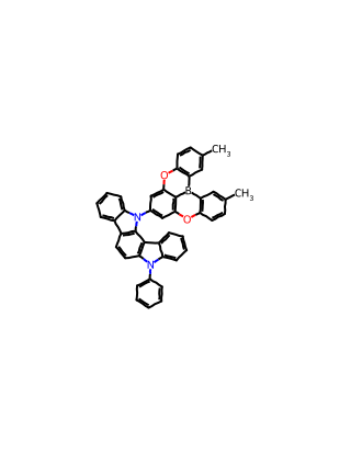 Cc1ccc2c(c1)B1c3cc(C)ccc3Oc3cc(-n4c5ccccc5c5ccc6c(c7ccccc7n6-c6ccccc6)c54)cc(c31)O2